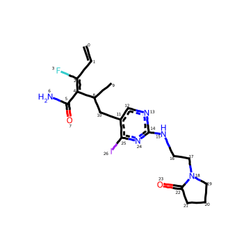 C=C/C(F)=C(/C(N)=O)C(C)Cc1cnc(NCCN2CCCC2=O)nc1I